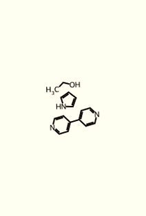 CCO.c1cc(-c2ccncc2)ccn1.c1cc[nH]c1